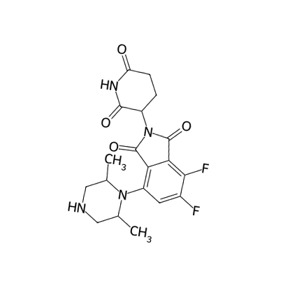 CC1CNCC(C)N1c1cc(F)c(F)c2c1C(=O)N(C1CCC(=O)NC1=O)C2=O